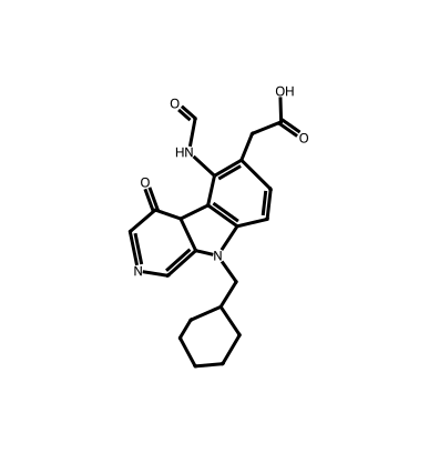 O=CNc1c(CC(=O)O)ccc2c1C1C(=O)C=NC=C1N2CC1CCCCC1